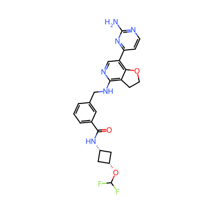 Nc1nccc(-c2cnc(NCc3cccc(C(=O)N[C@H]4C[C@@H](OC(F)F)C4)c3)c3c2OCC3)n1